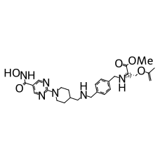 C=C(C)OC[C@H](NCc1ccc(CNCC2CCN(c3ncc(C(=O)NO)cn3)CC2)cc1)C(=O)OC